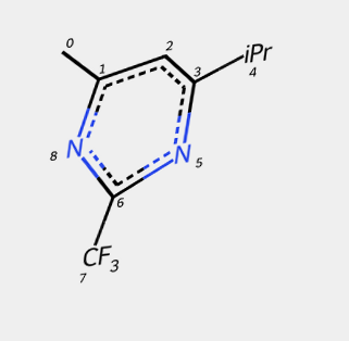 Cc1cc(C(C)C)nc(C(F)(F)F)n1